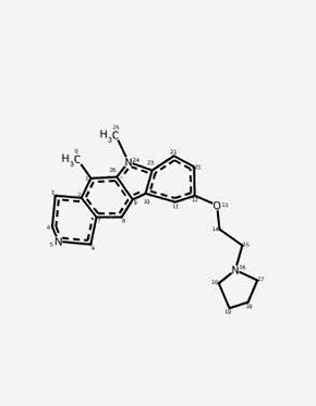 Cc1c2ccncc2cc2c3cc(OCCN4CCCC4)ccc3n(C)c12